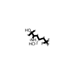 CC(C)(O)C(N)CCCC(F)(F)F.Cl